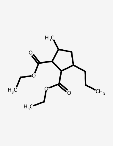 CCCC1CC(C)C(C(=O)OCC)C1C(=O)OCC